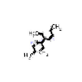 C=C\C=C/C(C=C)=C(C=C)/N=C\C=C